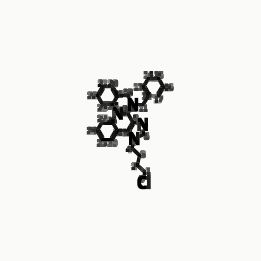 ClCCCCn1cnc2c(N(Cc3ccccc3)Cc3ccccc3)nc3ccccc3c21